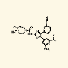 Cc1cc(-c2sc(NC(=O)N3C=CS(=N)(=O)C=C3)nc2-c2cccc(C#N)c2)cc(C(F)F)n1